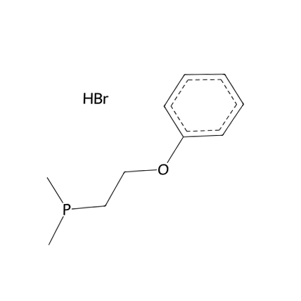 Br.CP(C)CCOc1ccccc1